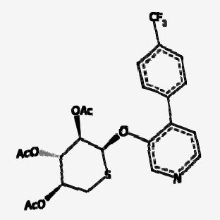 CC(=O)O[C@@H]1[C@@H](OC(C)=O)[C@@H](Oc2cnccc2-c2ccc(C(F)(F)F)cc2)SC[C@H]1OC(C)=O